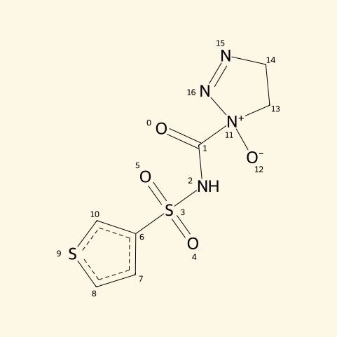 O=C(NS(=O)(=O)c1ccsc1)[N+]1([O-])CCN=N1